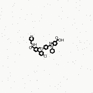 O=C(O)c1ccc2c(c1)nc(-c1ccc(OCc3cc(C(=O)NCc4ccncc4)ccc3-c3ccc(Cl)cc3)cc1)n2C1CCCCC1